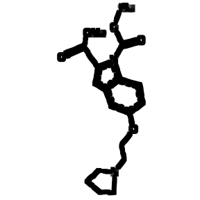 COC(=O)c1cc2cc(OCCN3CCCC3)ccc2n1C(=O)OC(C)(C)C